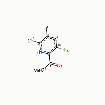 COC(=O)c1nc(Cl)c(C)cc1F